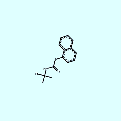 CCC(C)(C)NC(=O)Sc1cccc2ccccc12